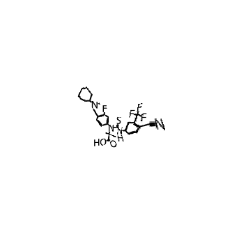 CN(Cc1ccc(N(C(=S)Nc2ccc(C#N)c(C(F)(F)F)c2)C(C)(C)C(=O)O)cc1F)C1CCCCC1